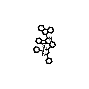 c1ccc(-c2cc(-c3cccc4nc(-c5cc6ccccc6c6ccccc56)c5c6ccccc6sc5c34)nc(-c3ccccc3)n2)cc1